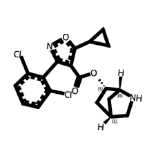 O=C(O[C@H]1C[C@H]2CN[C@@H]1C2)c1c(-c2c(Cl)cccc2Cl)noc1C1CC1